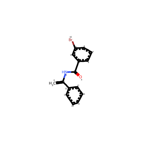 C=C(NC(=O)c1cccc(Br)c1)c1ccccc1